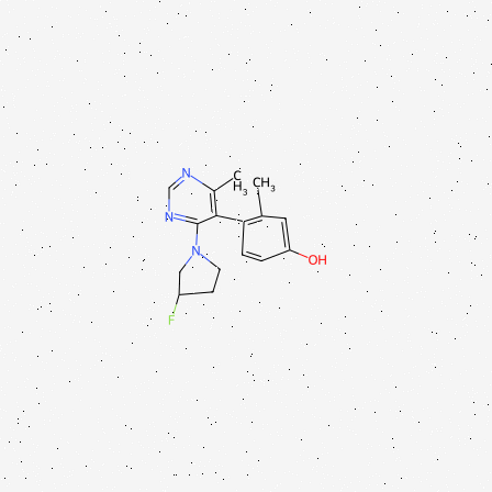 Cc1cc(O)ccc1-c1c(C)ncnc1N1CCC(F)C1